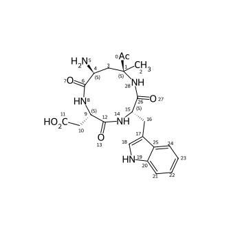 CC(=O)[C@]1(C)C[C@H](N)C(=O)N[C@@H](CC(=O)O)C(=O)N[C@@H](Cc2c[nH]c3ccccc23)C(=O)N1